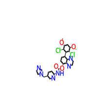 COc1cc(OC)c(Cl)c(-c2ccc(OC(=O)Nc3ccc(Cn4ccnc4)cn3)c3nccnc23)c1Cl